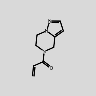 C=CC(=O)N1CCn2nccc2C1